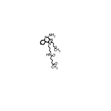 COCCc1nc2c(N)nc3ccccc3c2n1CCCCNC(=O)CCCC(C)=O